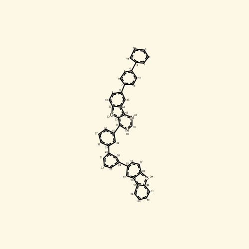 c1ccc(-c2ccc(-c3ccc4oc5c(-c6cccc(-c7cccc(-c8ccc9sc%10ccccc%10c9c8)c7)c6)ncnc5c4c3)cc2)cc1